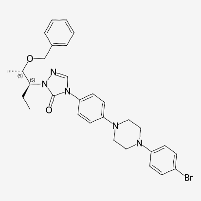 CC[C@@H]([C@H](C)OCc1ccccc1)n1ncn(-c2ccc(N3CCN(c4ccc(Br)cc4)CC3)cc2)c1=O